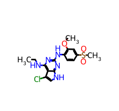 CCNc1nc(Nc2ccc(S(C)(=O)=O)cc2OC)nc2[nH]cc(Cl)c12